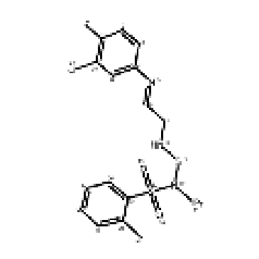 Cc1ccc(N=CCNSN(C(C)C)S(=O)(=O)c2ccccc2C)cc1Cl